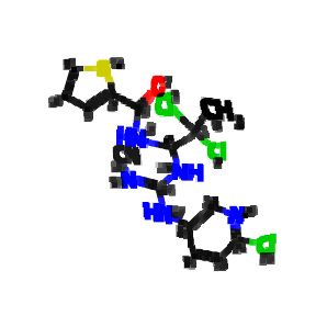 CC(Cl)(Cl)C(NC(=O)c1cccs1)N/C(=N\C#N)Nc1ccc(Cl)nc1